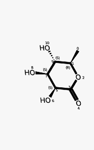 C[C@H]1OC(=O)[C@@H](O)[C@@H](O)[C@@H]1O